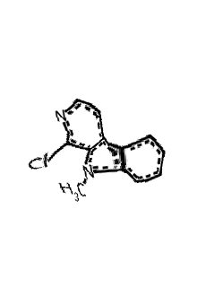 Cn1c2ccccc2c2ccnc(Cl)c21